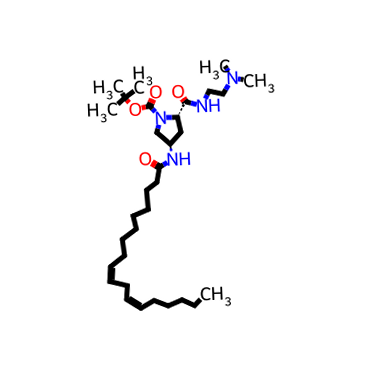 CCCCC/C=C\C/C=C\CCCCCCCC(=O)N[C@H]1C[C@@H](C(=O)NCCN(C)C)N(C(=O)OC(C)(C)C)C1